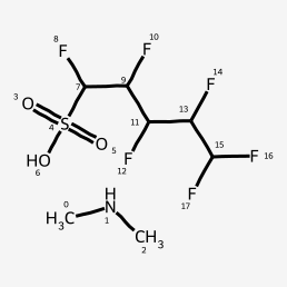 CNC.O=S(=O)(O)C(F)C(F)C(F)C(F)C(F)F